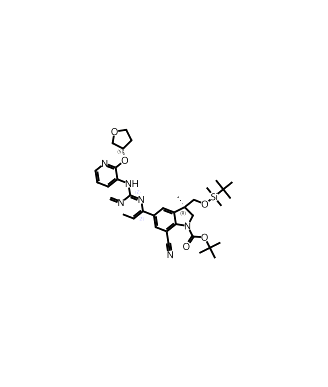 C=N/C(=N\C(=C/C)c1cc(C#N)c2c(c1)[C@@](C)(CO[Si](C)(C)C(C)(C)C)CN2C(=O)OC(C)(C)C)Nc1cccnc1O[C@H]1CCOC1